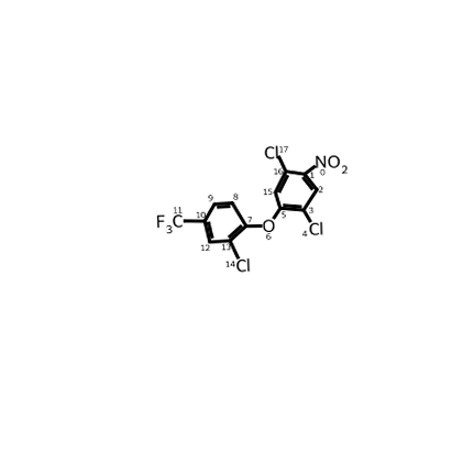 O=[N+]([O-])c1cc(Cl)c(Oc2ccc(C(F)(F)F)cc2Cl)cc1Cl